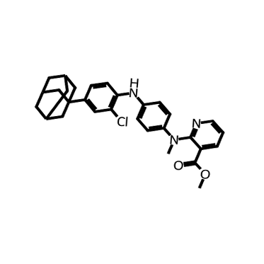 COC(=O)c1cccnc1N(C)c1ccc(Nc2ccc(C34CC5CC(CC(C5)C3)C4)cc2Cl)cc1